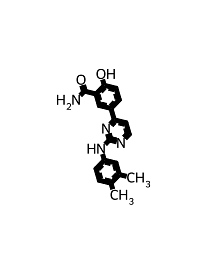 Cc1ccc(Nc2nccc(-c3ccc(O)c(C(N)=O)c3)n2)cc1C